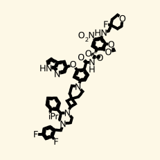 CC(C)c1ccccc1C1CN(Cc2ccc(F)cc2F)CCN1C1CC2(CCN(c3ccc(C(=O)NS(=O)(=O)c4cc([N+](=O)[O-])c(NCC5(F)CCOCC5)c5c4OCO5)c(Oc4cnc5[nH]ccc5c4)c3)CC2)C1